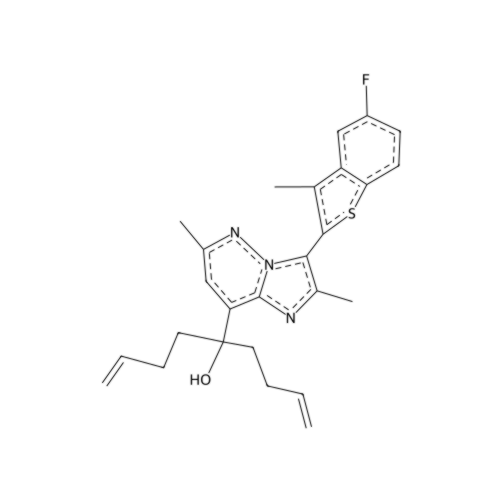 C=CCCC(O)(CCC=C)c1cc(C)nn2c(-c3sc4ccc(F)cc4c3C)c(C)nc12